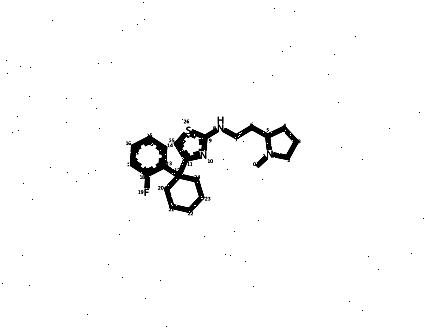 CN1CCCC1CCNc1nc(C2(c3ccccc3F)CCCCC2)cs1